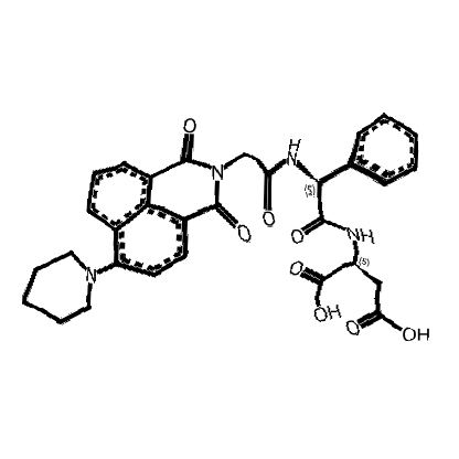 O=C(O)C[C@H](NC(=O)[C@@H](NC(=O)CN1C(=O)c2cccc3c(N4CCCCC4)ccc(c23)C1=O)c1ccccc1)C(=O)O